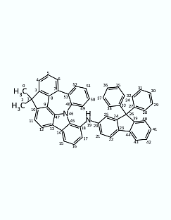 CC1(C)c2cccc3c2-c2c1ccc1c4cccc(Nc5ccc6c(c5)C(c5ccccc5)(c5ccccc5)c5ccccc5-6)c4n(c21)-c1ccccc1-3